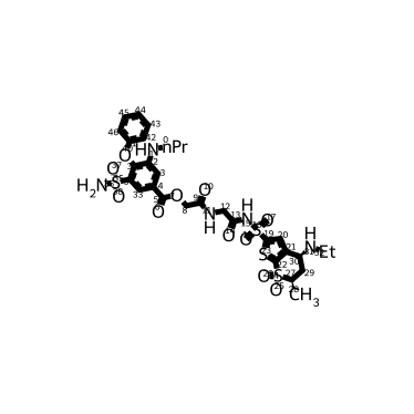 CCCNc1cc(C(=O)OCC(=O)NCC(=O)NS(=O)(=O)c2cc3c(s2)S(=O)(=O)[C@@H](C)C[C@@H]3NCC)cc(S(N)(=O)=O)c1Oc1ccccc1